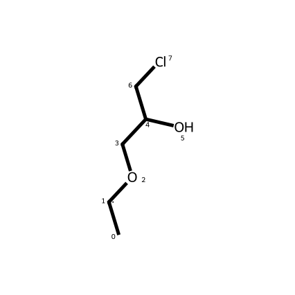 C[CH]OCC(O)CCl